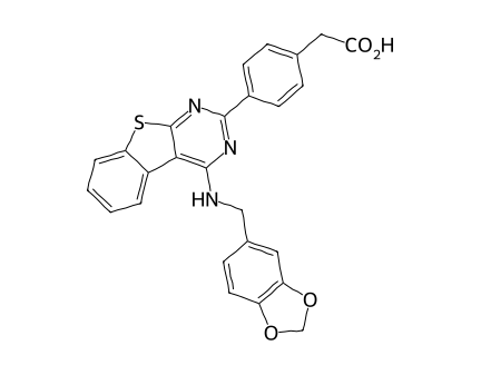 O=C(O)Cc1ccc(-c2nc(NCc3ccc4c(c3)OCO4)c3c(n2)sc2ccccc23)cc1